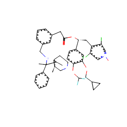 O=C(Cc1cccc(CNC(C(=O)O)(c2ccccc2)[C@H]2CN3CCC2CC3)c1)O[C@@H](Cc1c(Cl)c[n+]([O-])cc1Cl)c1ccc(OC(F)F)c(OCC2CC2)c1